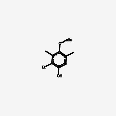 CCCCOc1c(C)cc(O)c(CC)c1C